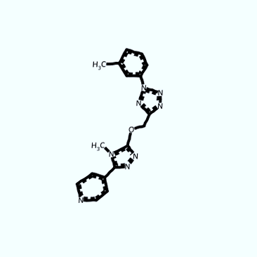 Cc1cccc(-n2nnc(COc3nnc(-c4ccncc4)n3C)n2)c1